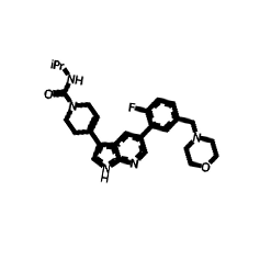 CC(C)NC(=O)N1CC=C(c2c[nH]c3ncc(-c4cc(CN5CCOCC5)ccc4F)cc23)CC1